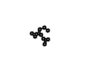 c1ccc(-c2cccc(-c3cccc(-n4c5ccc(-c6ccc7c(c6)c6ccccc6n7-c6ccccc6)cc5c5c6cccc7c6c(cc54)-c4ccccc4-7)c3)c2)cc1